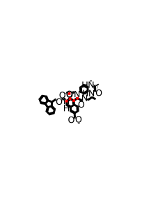 CN[C@@H](C)C(=O)NC(C)CN(C(=O)CCCNC(=O)OCC1c2ccccc2-c2ccccc21)c1ccccc1N(C=O)Cc1c(OC)ccc2cc(C(=O)OC)ccc12